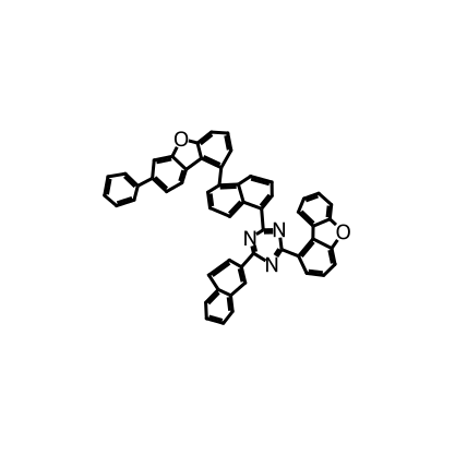 c1ccc(-c2ccc3c(c2)oc2cccc(-c4cccc5c(-c6nc(-c7ccc8ccccc8c7)nc(-c7cccc8oc9ccccc9c78)n6)cccc45)c23)cc1